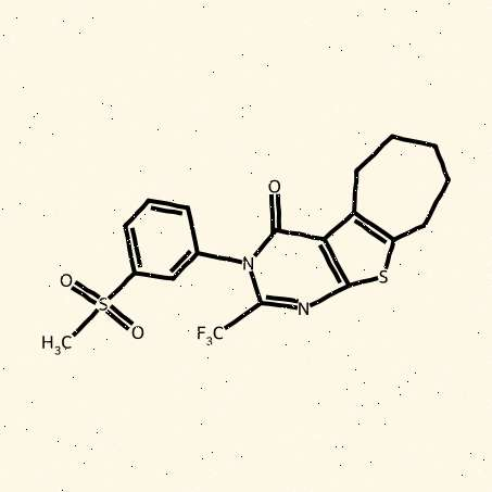 CS(=O)(=O)c1cccc(-n2c(C(F)(F)F)nc3sc4c(c3c2=O)CCCCC4)c1